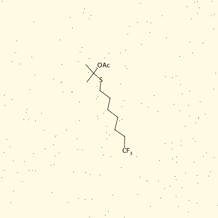 CC(=O)OC(C)(C)SCCCCCCC(F)(F)F